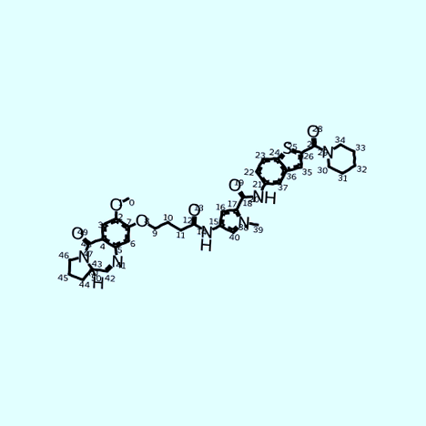 COc1cc2c(cc1OCCCC(=O)Nc1cc(C(=O)Nc3ccc4sc(C(=O)N5CCCCC5)cc4c3)n(C)c1)N=C[C@@H]1CCCN1C2=O